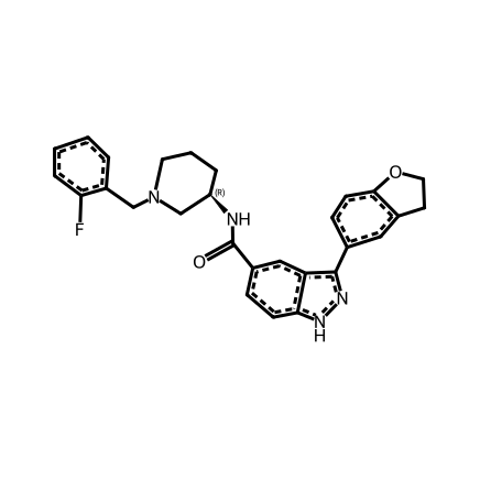 O=C(N[C@@H]1CCCN(Cc2ccccc2F)C1)c1ccc2[nH]nc(-c3ccc4c(c3)CCO4)c2c1